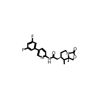 CC1[C@@H](CC(=O)Nc2ccc(-c3cc(F)cc(F)c3)cn2)CCN2C(=O)OC[C@]12C